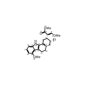 CC[C@@H]1C[N+]2=C(C[C@@H]1/C(=C\OC)C(=O)OC)c1[nH]c3cccc(OC)c3c1CC2